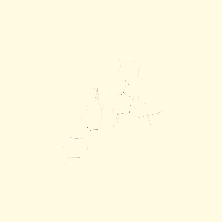 CC1CCC(N2CCC(C#N)(NC(=O)C(CC(C)(C)C)NC(=O)N3CCOCC3)CC2)CC1